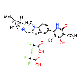 CCc1c(-c2ccc3c(c2)cc(CN2C[C@@H]4[C@H](C2)[C@@H]4NC)n3C)[nH]c(=O)c(C(=O)O)c1O.O=C(O)C(F)(F)F.O=C(O)C(F)(F)F